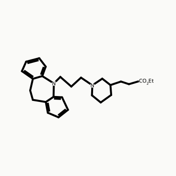 CCOC(=O)CCC1CCCN(CCCN2c3ccccc3CCc3ccccc32)C1